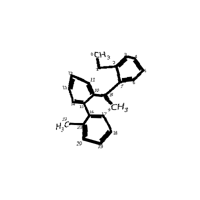 CCc1ccccc1C(C)c1ccccc1-c1ccccc1C